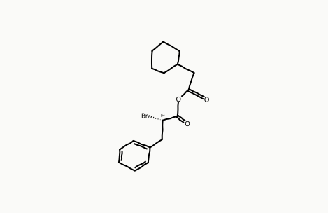 O=C(CC1CCCCC1)OC(=O)[C@@H](Br)Cc1ccccc1